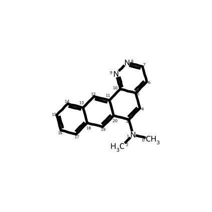 CN(C)c1cc2ccnnc2c2cc3ccccc3cc12